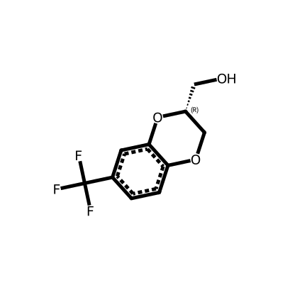 OC[C@@H]1COc2ccc(C(F)(F)F)cc2O1